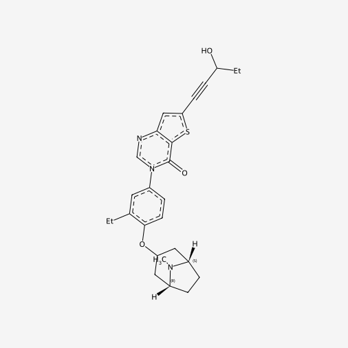 CCc1cc(-n2cnc3cc(C#CC(O)CC)sc3c2=O)ccc1OC1C[C@H]2CC[C@@H](C1)N2C